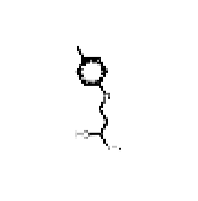 Cc1ccc(OCCC(N)O)cc1